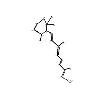 CC(/C=C/C=C(C)/C=C/C1C(C)CCCC1(C)C)=C\C#N